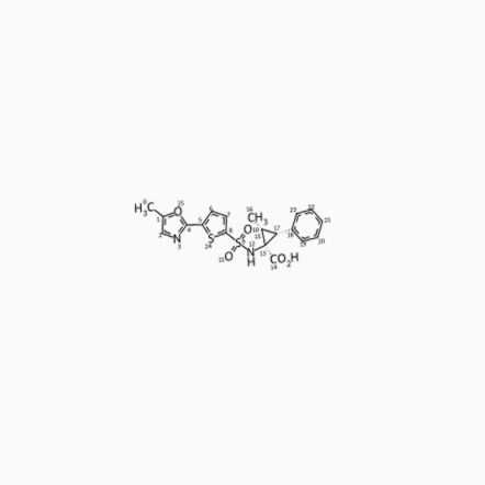 Cc1cnc(-c2ccc(S(=O)(=O)N[C@@]3(C(=O)O)[C@H](C)[C@@H]3c3ccccc3)s2)o1